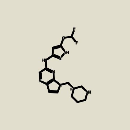 FC(F)Oc1cc(Nc2cnc3ccn(C[C@@H]4CCCNC4)c3n2)n[nH]1